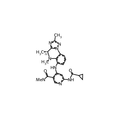 CNC(=O)c1cnc(NC(=O)C2CC2)cc1Nc1cccc2c1N(C)[C@@H](C)c1nc(C)nn1-2